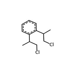 CC(CCl)c1ccccc1C(C)CCl